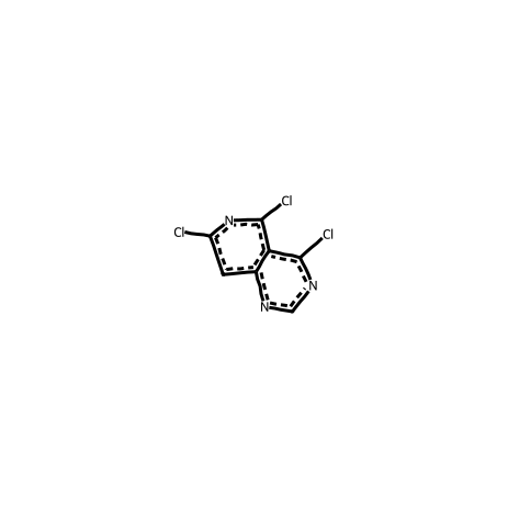 Clc1cc2ncnc(Cl)c2c(Cl)n1